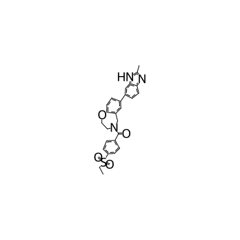 CCS(=O)(=O)c1ccc(C(=O)N2CCOc3ccc(-c4ccc5nc(C)[nH]c5c4)cc3C2)cc1